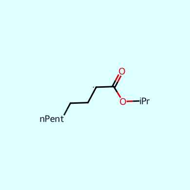 CCCCCCC[CH]C(=O)OC(C)C